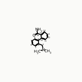 CN(C)Cc1ccccc1-c1ccccc1C(N)=O